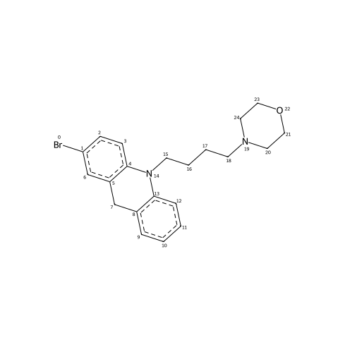 Brc1ccc2c(c1)Cc1ccccc1N2CCCCN1CCOCC1